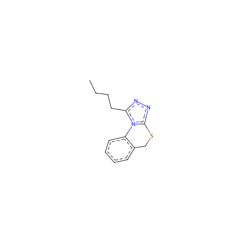 CCCCc1nnc2n1-c1ccccc1CS2